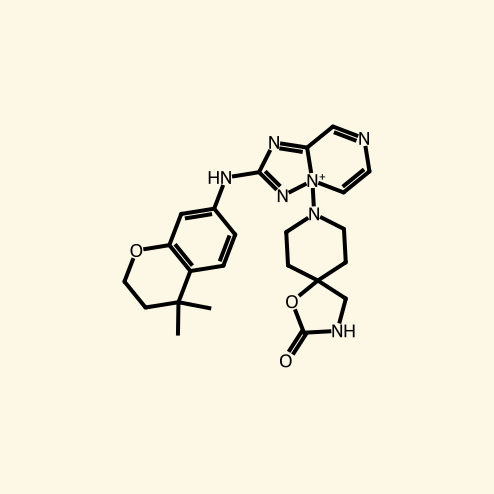 CC1(C)CCOc2cc(NC3=N[N+]4(N5CCC6(CC5)CNC(=O)O6)C=CN=CC4=N3)ccc21